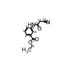 CCOC(=O)c1cccc(NC(=O)CC#N)c1